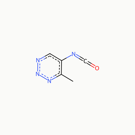 Cc1nnncc1N=C=O